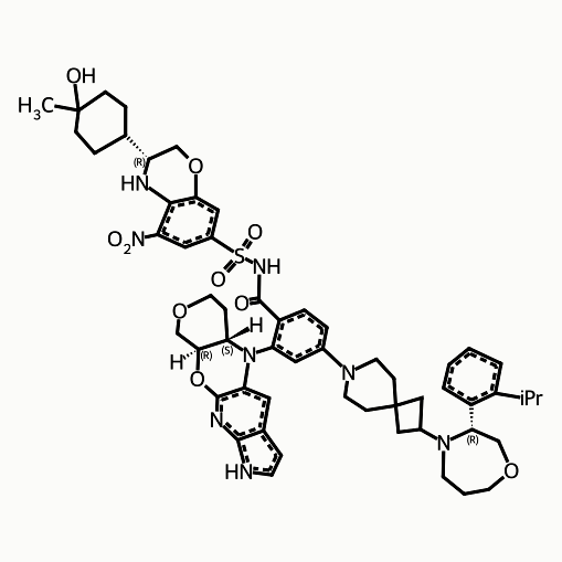 CC(C)c1ccccc1[C@@H]1COCCCN1C1CC2(CCN(c3ccc(C(=O)NS(=O)(=O)c4cc5c(c([N+](=O)[O-])c4)N[C@H](C4CCC(C)(O)CC4)CO5)c(N4c5cc6cc[nH]c6nc5O[C@H]5COCC[C@@H]54)c3)CC2)C1